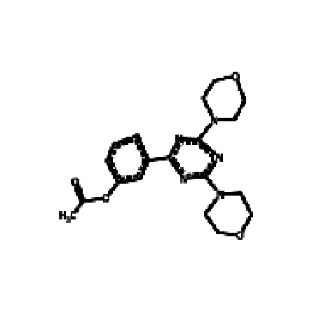 CC(=O)Oc1cccc(-c2nc(N3CCOCC3)nc(N3CCOCC3)n2)c1